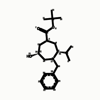 CC(C)[C@H]1CN(C(=O)OC(C)(C)C)C[C@@H](O)CN1Cc1ccccc1